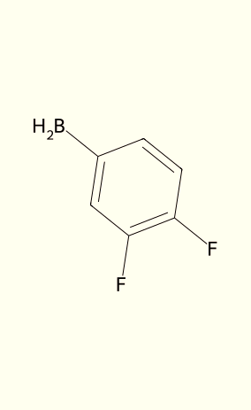 Bc1ccc(F)c(F)c1